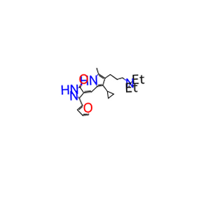 CCN(CC)CCCc1c(C)[nH]c(C=C2C(=O)NN=C2c2ccco2)c1C1CC1